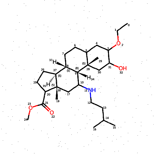 CCOC1CC2CC[C@@H]3[C@@H](C(NCCC(C)C)C[C@]4(C)C(C(=O)OC)CC[C@@H]34)[C@@]2(C)CC1O